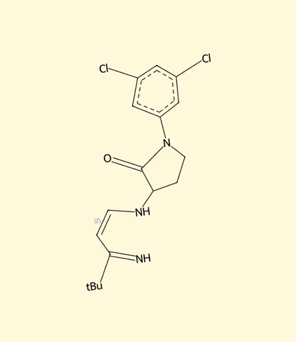 CC(C)(C)C(=N)/C=C\NC1CCN(c2cc(Cl)cc(Cl)c2)C1=O